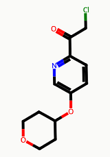 O=C(CCl)c1ccc(OC2CCOCC2)cn1